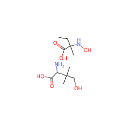 CC(C)(CO)C(N)C(=O)O.CCC(C)(NO)C(=O)O